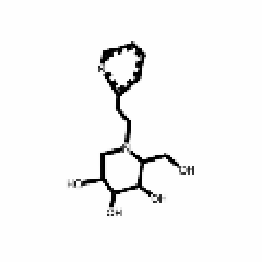 OCC1C(O)C(O)C(O)CN1CCc1ccccn1